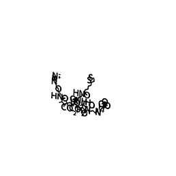 CC(C(=O)NCCOCCN=[N+]=[N-])C(C(=O)O)C(C)(C)CC(C(=O)O)C(C(=O)NCCNC(=O)CCCCC1CCSS1)C(C)(C)CC(C(=O)NCCC[N+](C)(C)CCCS(=O)(=O)[O-])C(C(=O)O)C(C)(C)C